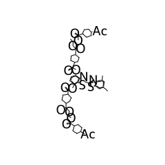 CC(=O)C1CCC(C(=O)OCOC(=O)C2CCC(C(=O)Oc3ccc(OC(=O)C4CCC(C(=O)OC(C)OC(=O)C5CCC(C(C)=O)CC5)CC4)c4nc(-c5nc6c(C)cc(C)cc6s5)sc34)CC2)CC1